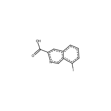 O=C(O)c1cc2cccc(I)c2cn1